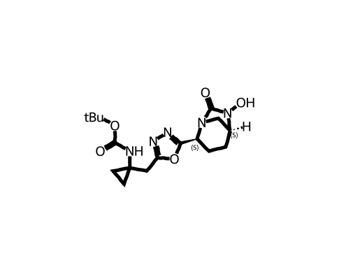 CC(C)(C)OC(=O)NC1(Cc2nnc([C@@H]3CC[C@H]4CN3C(=O)N4O)o2)CC1